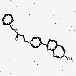 CP1C=Cc2ccc(-c3cc[n+](CCC(=O)OCc4ccccc4)cc3)nc2N=N1